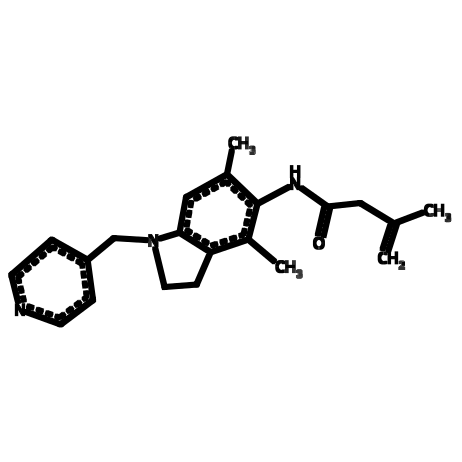 C=C(C)CC(=O)Nc1c(C)cc2c(c1C)CCN2Cc1ccncc1